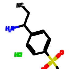 CS(=O)(=O)c1ccc(C(N)CC#N)cc1.Cl